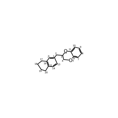 [c]1c(CC2COc3ccccc3O2)ccc2c1CCCC2